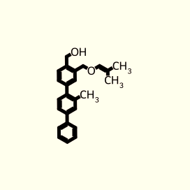 CC(C)=COCc1cc(-c2ccc(-c3ccccc3)cc2C)ccc1CO